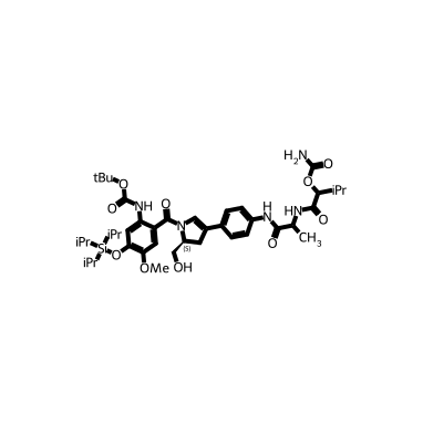 COc1cc(C(=O)N2C=C(c3ccc(NC(=O)C(C)NC(=O)C(OC(N)=O)C(C)C)cc3)C[C@H]2CO)c(NC(=O)OC(C)(C)C)cc1O[Si](C(C)C)(C(C)C)C(C)C